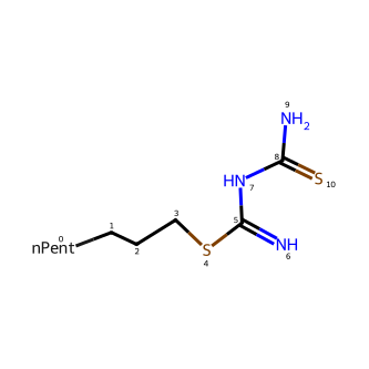 CCCCCCCCSC(=N)NC(N)=S